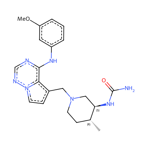 COc1cccc(Nc2ncnn3ccc(CN4CC[C@@H](C)[C@H](NC(N)=O)C4)c23)c1